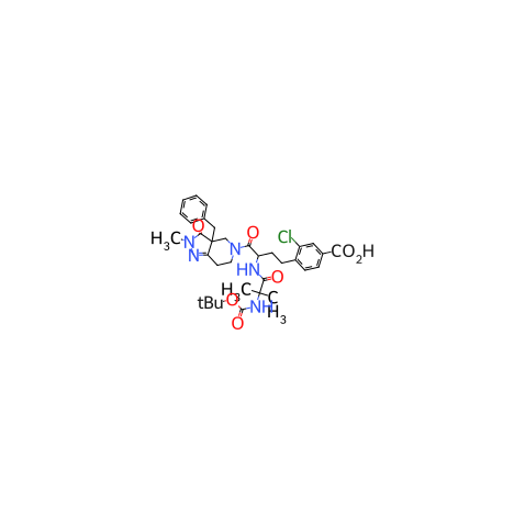 CN1N=C2CCN(C(=O)C(CCc3ccc(C(=O)O)cc3Cl)NC(=O)C(C)(C)NC(=O)OC(C)(C)C)CC2(Cc2ccccc2)C1=O